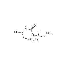 CCC(CC(=O)O)NC(=O)OC(C)(C)CN